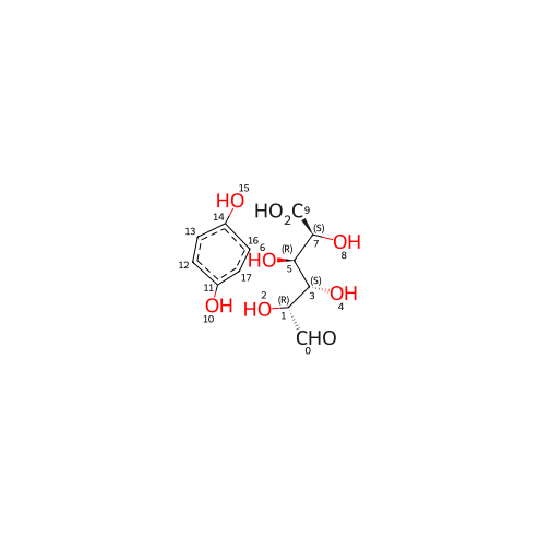 O=C[C@H](O)[C@@H](O)[C@@H](O)[C@H](O)C(=O)O.Oc1ccc(O)cc1